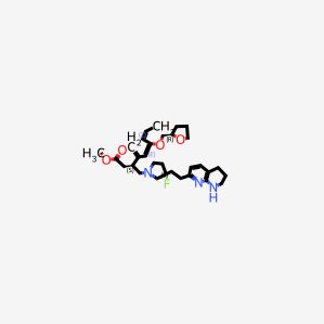 C=C(/C=C(\C=C/C)OC[C@H]1CCCO1)[C@H](CC(=O)OC)CN1CC[C@@](F)(CCc2ccc3c(n2)NCCC3)C1